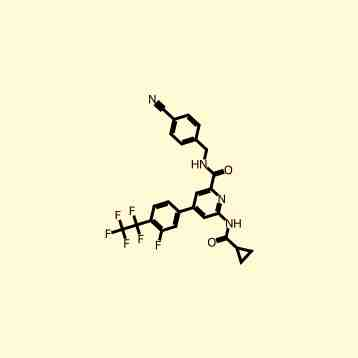 N#Cc1ccc(CNC(=O)c2cc(-c3ccc(C(F)(F)C(F)(F)F)c(F)c3)cc(NC(=O)C3CC3)n2)cc1